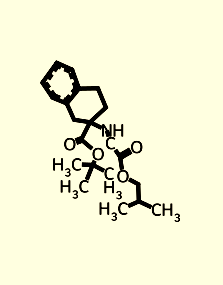 CC(C)COC(=O)CNC1(C(=O)OC(C)(C)C)CCc2ccccc2C1